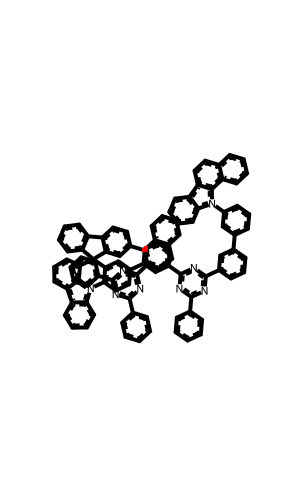 c1ccc(-c2nc(-c3cccc(-c4cccc(-n5c6ccccc6c6ccc7ccccc7c65)c4)c3)nc(-c3cccc(-c4ccc5c(c4)C4(c6ccccc6-c6ccc(-c7c(-c8nc(-c9ccccc9)nc(-c9ccccc9)n8)ccc8ccccc78)cc64)c4cccc6c7ccccc7n-5c46)c3)n2)cc1